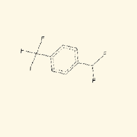 FC(F)c1ccc(C(F)(F)I)cc1